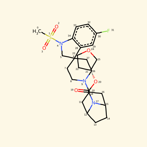 CS(=O)(=O)N1CC2(CCN(C3CC4CCC(C3)N4C(=O)O[C@@H]3CCOC3)CC2)c2cc(F)ccc21